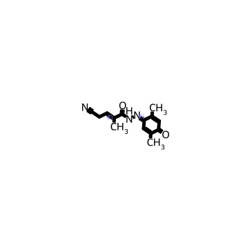 CC1=C/C(=N\NC(=O)/C(C)=C/CC#N)C(C)=CC1=O